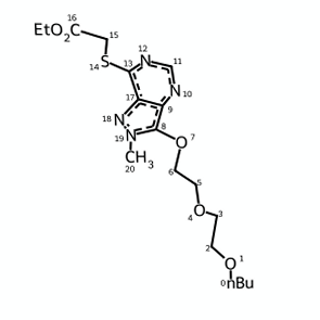 CCCCOCCOCCOc1c2ncnc(SCC(=O)OCC)c2nn1C